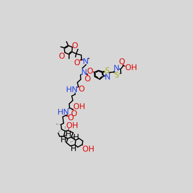 CC1=C(C)C(=O)C(C(C)(C)CC(=O)N(C)CCN(CCCC(=O)NCCCCC(NC(=O)CC[C@@H](C)[C@H]2CC[C@H]3[C@@H]4CC[C@@H]5C[C@H](O)CC[C@]5(C)[C@H]4C[C@H](O)[C@]23C)C(=O)O)C(=O)Oc2ccc3nc(C4=NC(C(=O)O)CS4)sc3c2)=C(C)C1=O